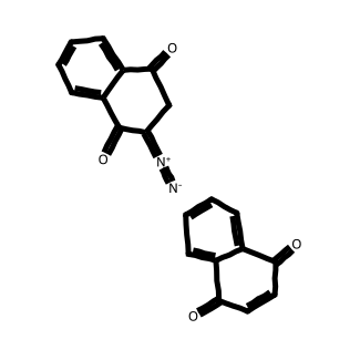 O=C1C=CC(=O)c2ccccc21.[N-]=[N+]=C1CC(=O)c2ccccc2C1=O